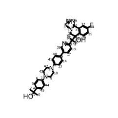 CC(C)(O)c1ccc(N2CCN(c3ccc(-c4ccc(C(F)(F)[C@]5(O)Cn6nnnc6-c6cc(F)ccc65)nc4)cc3)CC2)cc1